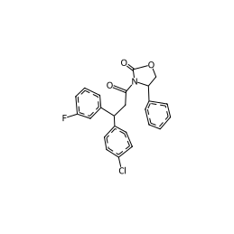 O=C(CC(c1ccc(Cl)cc1)c1cccc(F)c1)N1C(=O)OCC1c1ccccc1